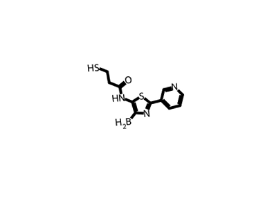 Bc1nc(-c2cccnc2)sc1NC(=O)CCS